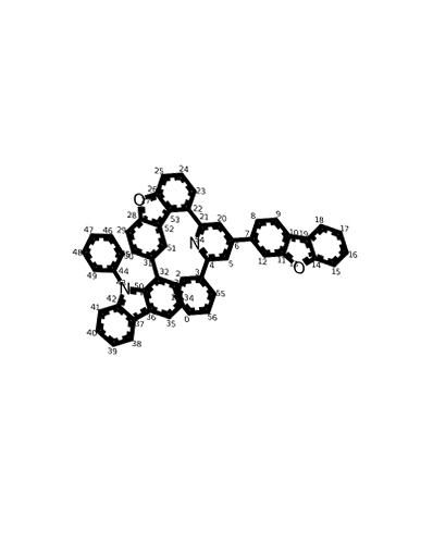 c1ccc(-c2cc(-c3ccc4c(c3)oc3ccccc34)cc(-c3cccc4oc5ccc(-c6cccc7c8ccccc8n(-c8ccccc8)c67)cc5c34)n2)cc1